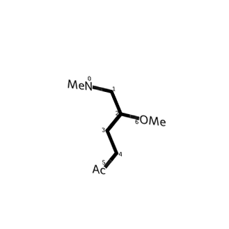 CNCC(CCC(C)=O)OC